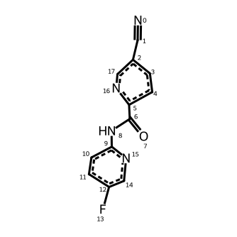 N#Cc1ccc(C(=O)Nc2ccc(F)cn2)nc1